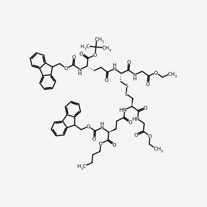 CCCCOC(=O)[C@H](CCC(=O)N[C@@H](CSSC[C@H](NC(=O)CC[C@H](NC(=O)OCC1c2ccccc2-c2ccccc21)C(=O)OC(C)(C)C)C(=O)NCC(=O)OCC)C(=O)NCC(=O)OCC)NC(=O)OCC1c2ccccc2-c2ccccc21